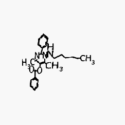 CCCCCCNN1C(C)=C(OC(=O)c2ccccc2)C(C)=NC1c1ccccc1